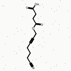 N#CCCCC#CCOC(=O)CCC(=O)O